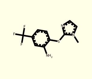 Cn1ccnc1Sc1ccc(C(F)(F)F)cc1N